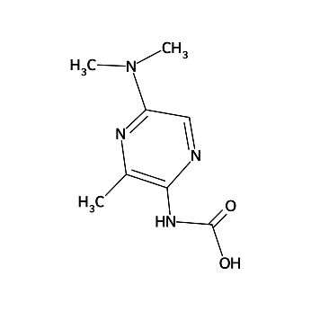 Cc1nc(N(C)C)cnc1NC(=O)O